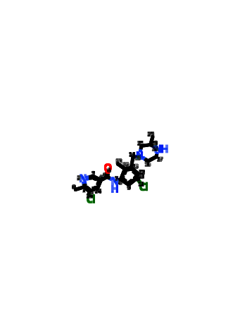 Cc1ncc(C(=O)Nc2cc(Cl)cc(CN3CCNC(C)C3)c2C)cc1Cl